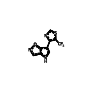 FC(F)(F)c1scnc1-c1c[nH]c2cnoc12